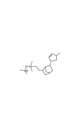 CC1C=CC(C2CC3CC(CC[Si](C)(C)O[SiH](C)C)C2C3)C1